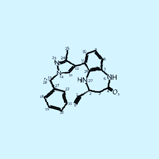 C#C[C@@H]1CC(=O)Nc2cccc(-c3cn([C@@H](C)c4ccccc4)nc3C)c2N1